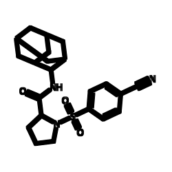 N#Cc1ccc(S(=O)(=O)N2CCCC2C(=O)NC2C3CC4CC(C3)CC2C4)cc1